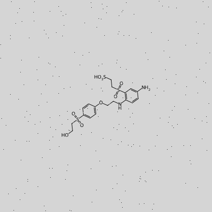 Nc1ccc(NCCOc2ccc(S(=O)(=O)CCO)cc2)c(S(=O)(=O)CCS(=O)(=O)O)c1